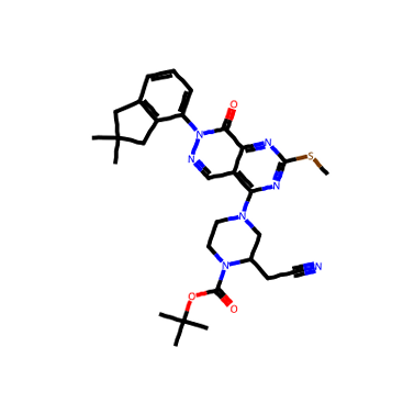 CSc1nc(N2CCN(C(=O)OC(C)(C)C)C(CC#N)C2)c2cnn(-c3cccc4c3CC(C)(C)C4)c(=O)c2n1